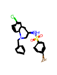 O=S(=O)(NC1Cc2cc(Cl)ccc2N(Cc2ccccc2)C1)c1ccc(Br)cc1